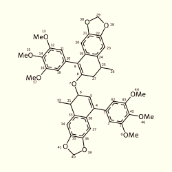 COc1cc(C2=CC(OC3=C(c4cc(OC)c(OC)c(OC)c4)c4cc5c(cc4C(C)C3)OCO5)C(C)c3cc4c(cc32)OCO4)cc(OC)c1OC